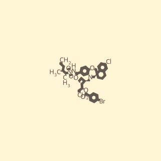 C=CC[C@H](C)[C@@H](C)S(=O)(=O)NC(=O)c1ccc2c(c1)N(C[C@@H]1CC[C@H]1[C@H](C=C)OC(=O)c1ccc(Br)cc1)C[C@@]1(CCCc3cc(Cl)ccc31)CO2